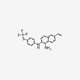 C=Cc1ccc2c(N)c(Nc3ccc(SC(F)(F)F)cc3)ccc2c1